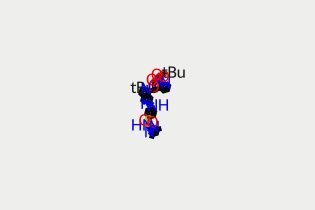 Cc1cc(C)nc(NS(=O)(=O)c2ccc(Nc3cc4c(C#Cc5cccnc5N(C(=O)OC(C)(C)C)C(=O)OC(C)(C)C)nccc4cn3)cc2)n1